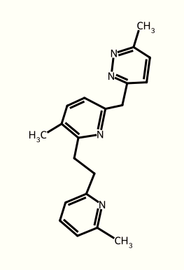 Cc1ccc(Cc2ccc(C)c(CCc3cccc(C)n3)n2)nn1